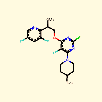 COC1CCN(c2nc(Cl)nc(OCC(OC)c3ncc(F)cc3F)c2F)CC1